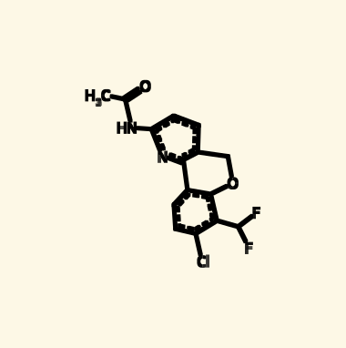 CC(=O)Nc1ccc2c(n1)-c1ccc(Cl)c(C(F)F)c1OC2